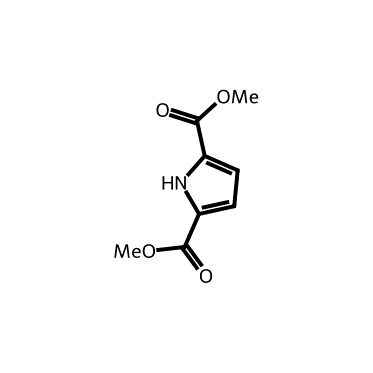 COC(=O)c1ccc(C(=O)OC)[nH]1